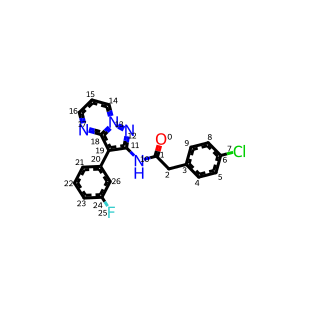 O=C(Cc1ccc(Cl)cc1)Nc1nn2cccnc2c1-c1cccc(F)c1